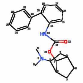 CN(C)C1CC2CCC1C2OC(=O)Nc1ccccc1-c1ccccc1